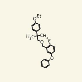 CCOc1ccc(C(C)(C)COCc2cc(Oc3ccccc3)ccc2F)cc1